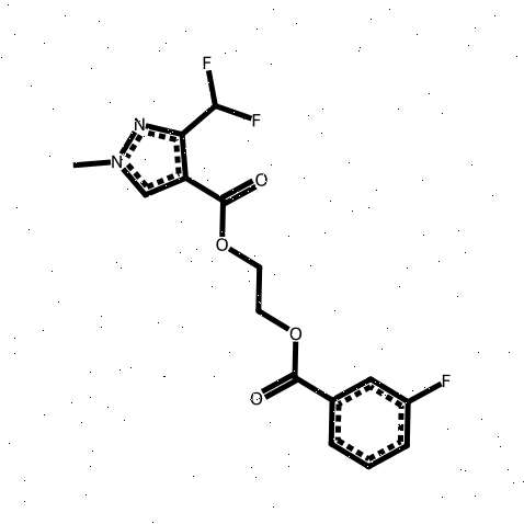 Cn1cc(C(=O)OCCOC(=O)c2cccc(F)c2)c(C(F)F)n1